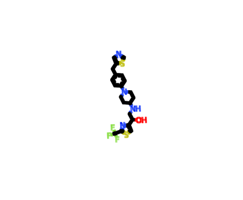 OC(CNC1CCN(c2ccc(Cc3cncs3)cc2)CC1)c1csc(C(F)(F)F)n1